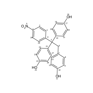 O=[N+]([O-])c1ccc(C(Cc2ccc(O)cc2)(c2ccc(O)cc2)c2ccc(O)cc2)cc1